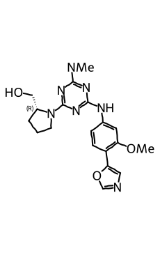 CNc1nc(Nc2ccc(-c3cnco3)c(OC)c2)nc(N2CCC[C@@H]2CO)n1